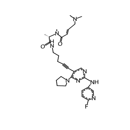 C[C@@H](C(=O)NCCCC#Cc1cnc(Nc2ccc(F)nc2)nc1N1CCCC1)N(C)C(=O)/C=C/CN(C)C